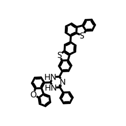 c1ccc(C2=NC(c3ccc4c(c3)sc3cc(-c5cccc6c5sc5ccccc56)ccc34)NC(c3cccc4oc5ccccc5c34)N2)cc1